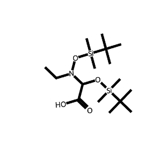 CCN(O[Si](C)(C)C(C)(C)C)C(O[Si](C)(C)C(C)(C)C)C(=O)O